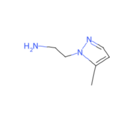 Cc1ccnn1CCN